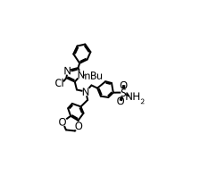 CCCCn1c(-c2ccccc2)nc(Cl)c1CN(Cc1ccc(S(N)(=O)=O)cc1)Cc1ccc2c(c1)OCCO2